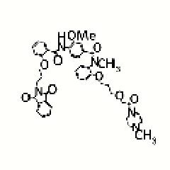 COc1cc(C(=O)N(C)c2ccccc2OCCCOCC(=O)N2CCN(C)CC2)ccc1NC(=O)c1ccccc1OCCCN1C(=O)c2ccccc2C1=O